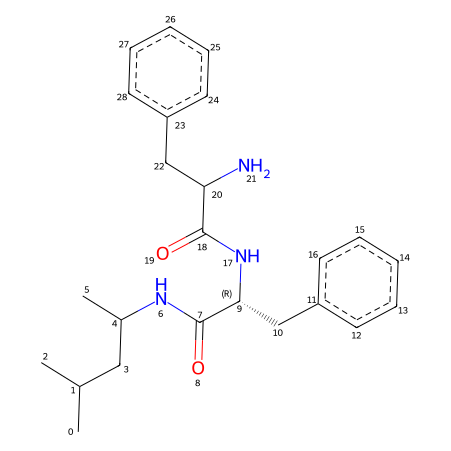 CC(C)CC(C)NC(=O)[C@@H](Cc1ccccc1)NC(=O)C(N)Cc1ccccc1